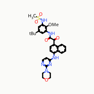 COc1c(NC(=O)C(=O)c2ccc(Nc3ccnc(N4CCOCC4)n3)c3ccccc23)cc(C(C)(C)C)cc1NS(C)(=O)=O